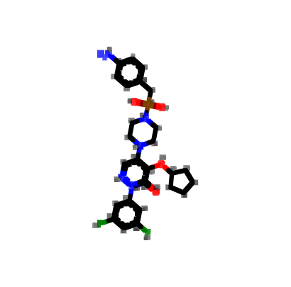 Nc1ccc(CS(=O)(=O)N2CCN(c3cnn(-c4cc(F)cc(F)c4)c(=O)c3OC3CCCC3)CC2)cc1